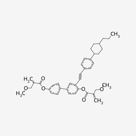 C=C(COC)C(=O)Oc1ccc(-c2ccc(OC(=O)C(=C)COC)c(C#Cc3ccc(C4CCC(CCC)CC4)cc3)c2)cc1